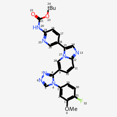 COc1cc(-n2cnnc2-c2ccc3ncc(-c4ccc(NC(=O)OC(C)(C)C)nc4)n3c2)ccc1F